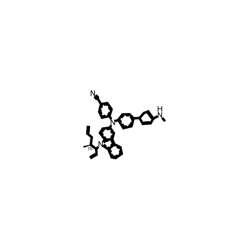 C=CC[C@H](C)C(C=C)n1c2ccccc2c2cc(N(c3ccc(C#N)cc3)c3ccc(C4C=CC(NC)=CC4)cc3)ccc21